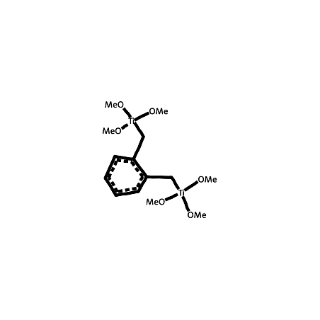 C[O][Ti]([CH2]c1ccccc1[CH2][Ti]([O]C)([O]C)[O]C)([O]C)[O]C